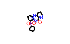 O=c1c2ncccc2nnn1OP(=O)(c1ccccc1)c1ccccc1